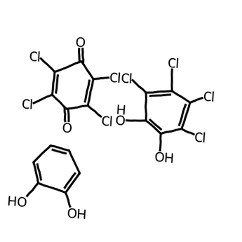 O=C1C(Cl)=C(Cl)C(=O)C(Cl)=C1Cl.Oc1c(O)c(Cl)c(Cl)c(Cl)c1Cl.Oc1ccccc1O